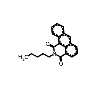 CCCCCN1C(=O)c2cccc3cc4ccccc4c(c23)C1=O